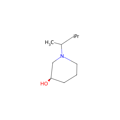 CC(C)C(C)N1CCC[C@@H](O)C1